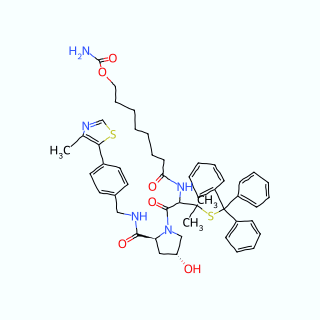 Cc1ncsc1-c1ccc(CNC(=O)[C@@H]2C[C@@H](O)CN2C(=O)C(NC(=O)CCCCCCCOC(N)=O)C(C)(C)SC(c2ccccc2)(c2ccccc2)c2ccccc2)cc1